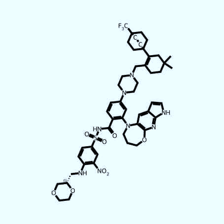 CC1(C)CCC(CN2CCN(c3ccc(C(=O)NS(=O)(=O)c4ccc(NC[C@H]5COCCO5)c([N+](=O)[O-])c4)c(N4CCCOc5nc6[nH]ccc6cc54)c3)CC2)=C(C23CCC(C(F)(F)F)(CC2)CC3)C1